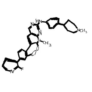 CN1CCC(c2ccc(Nc3ncc4cc(-c5ccc(-c6cccnc6F)cc5Cl)c(=O)n(C)c4n3)cc2)CC1